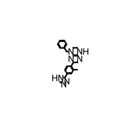 Cc1cc(-c2nnc[nH]2)ccc1-c1cnc2c(n1)N(Cc1ccccc1)CCN2